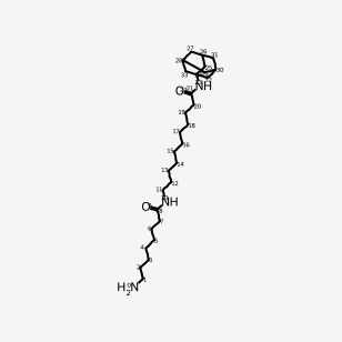 NCCCCCCCC(=O)NCCCCCCCCCCC(=O)NC12CC3CC(CC(C3)C1)C2